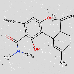 C=C(C)C1CCC(C)=CC1c1c(O)cc(CCCCC)c(C(=O)N(C)C#N)c1O